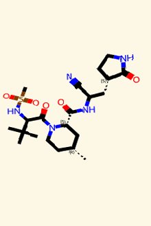 C[C@@H]1CCN(C(=O)C(NS(C)(=O)=O)C(C)(C)C)[C@H](C(=O)NC(C#N)C[C@@H]2CCNC2=O)C1